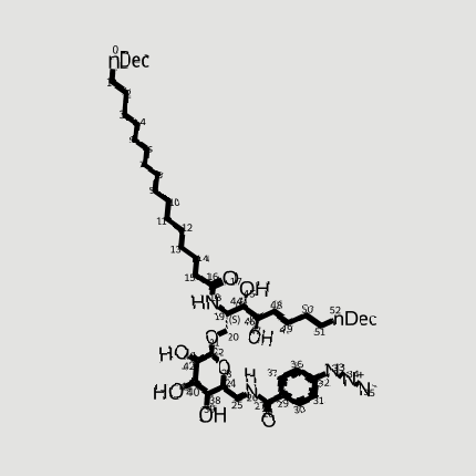 CCCCCCCCCCCCCCCCCCCCCCCCCC(=O)N[C@@H](COC1OC(CNC(=O)c2ccc(N=[N+]=[N-])cc2)C(O)C(O)C1O)[C@H](O)[C@H](O)CCCCCCCCCCCCCC